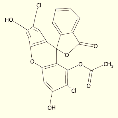 CC(=O)Oc1c(Cl)c(O)cc2c1C1(OC(=O)c3ccccc31)c1cc(Cl)c(O)cc1O2